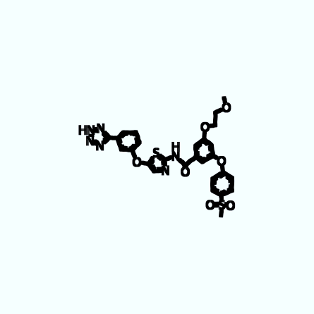 COCCOc1cc(Oc2ccc(S(C)(=O)=O)cc2)cc(C(=O)Nc2ncc(Oc3cccc(-c4nn[nH]n4)c3)s2)c1